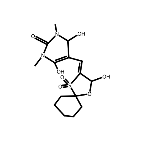 CN1C(=O)N(C)C(O)C(C=C2C(O)OC3(CCCCC3)S2(=O)=O)=C1O